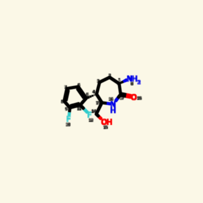 N[C@@H]1CC[C@@H](c2cccc(F)c2F)C(CO)NC1=O